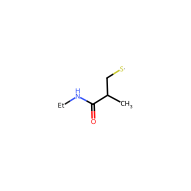 CCNC(=O)C(C)C[S]